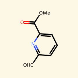 COC(=O)c1cccc([C]=O)n1